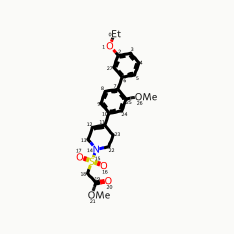 CCOc1cccc(-c2ccc(C3=CCN(S(=O)(=O)CC(=O)OC)CC3)cc2OC)c1